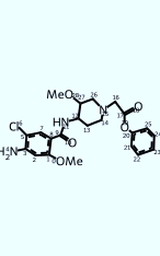 COc1cc(N)c(Cl)cc1C(=O)NC1CCN(CC(=O)Oc2ccccc2)CC1OC